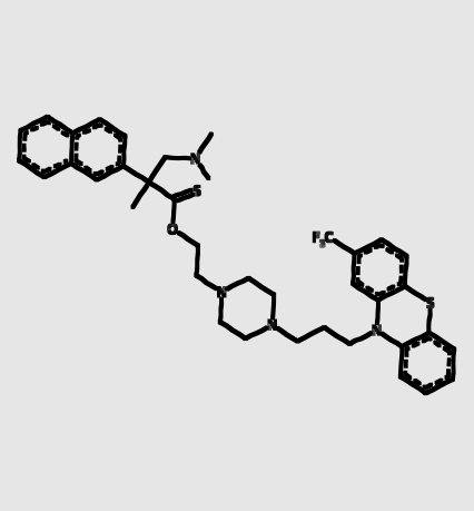 CN(C)CC(C)(C(=S)OCCN1CCN(CCCN2c3ccccc3Sc3ccc(C(F)(F)F)cc32)CC1)c1ccc2ccccc2c1